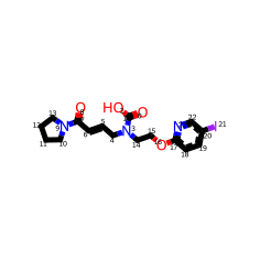 O=C(O)N(C/C=C/C(=O)N1CCCC1)CCOc1ccc(I)cn1